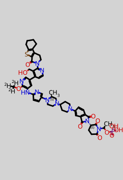 [2H]C([2H])([2H])Oc1ncc(-c2ccnc(N3CCc4c(sc5c4CCCC5)C3=O)c2CO)cc1Nc1ccc(N2CCN(C3CCN(c4ccc5c(c4)C(=O)N([C@H]4CCC(=O)N(C(C)OP(=O)(O)O)C4=O)C5=O)CC3)C[C@@H]2C)cn1